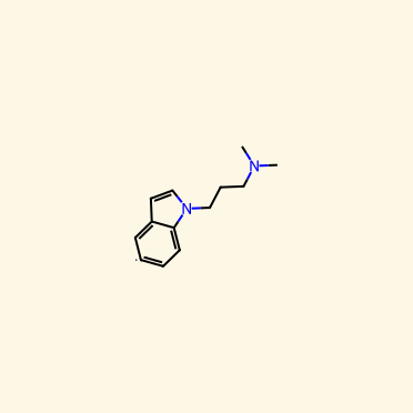 CN(C)CCCn1ccc2c[c]ccc21